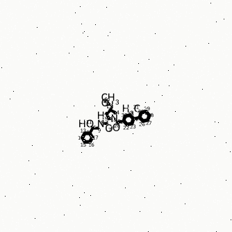 CO/N=C1\C[C@@H](C(=O)NC[C@@H](O)c2ccccc2)N(C(=O)c2ccc(-c3ccccc3C)cc2)C1